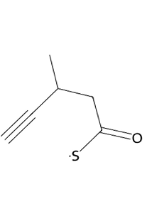 C#CC(C)CC(=O)[S]